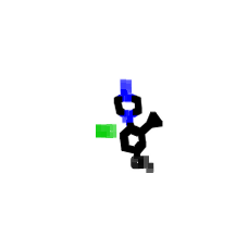 Cc1ccc(N2CCNCC2)c(C2CC2)c1.Cl